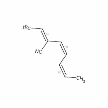 C\C=C/C=C\C(C#N)=C\C(C)(C)C